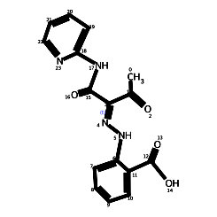 CC(=O)/C(=N\Nc1ccccc1C(=O)O)C(=O)Nc1ccccn1